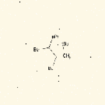 CC(C)(C)C.CCCC(CC)CC(C)CC